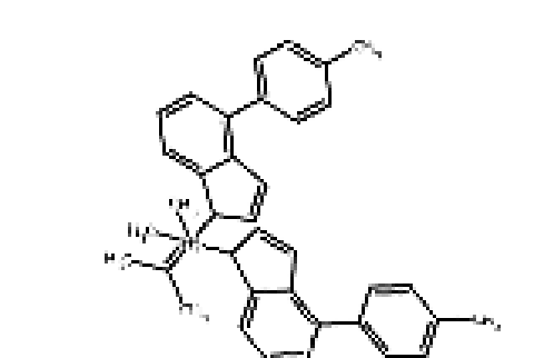 C[C](C)=[Hf]([CH3])([CH3])([CH]1C=Cc2c(-c3ccc(C)cc3)cccc21)[CH]1C=Cc2c(-c3ccc(C)cc3)cccc21